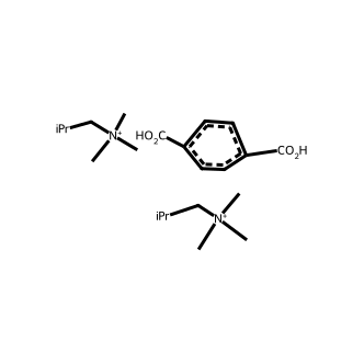 CC(C)C[N+](C)(C)C.CC(C)C[N+](C)(C)C.O=C(O)c1ccc(C(=O)O)cc1